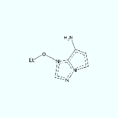 CCOn1cnn2ccc(N)c12